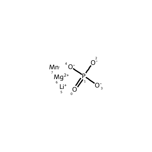 O=P([O-])([O-])[O-].[Li+].[Mg+2].[Mn]